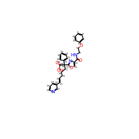 O=C(NCCOc1ccccc1)c1coc(C(CCCC=Cc2cccnc2)(C(=O)O)c2ccccc2)n1